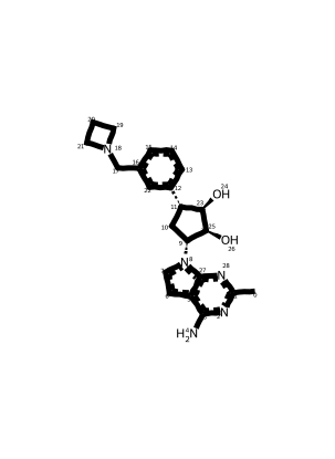 Cc1nc(N)c2ccn([C@@H]3C[C@H](c4cccc(CN5CCC5)c4)[C@@H](O)[C@H]3O)c2n1